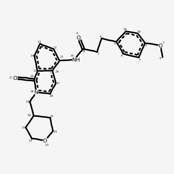 COc1ccc(CCC(=O)Nc2cccc3c(=O)n(CC4CCOCC4)ccc23)cc1